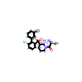 [CH2]CCC(O)(c1cccc(F)c1-c1cccc(CC)c1)C1CCCN(C(=O)[C@@H](N)C(C)C)C1